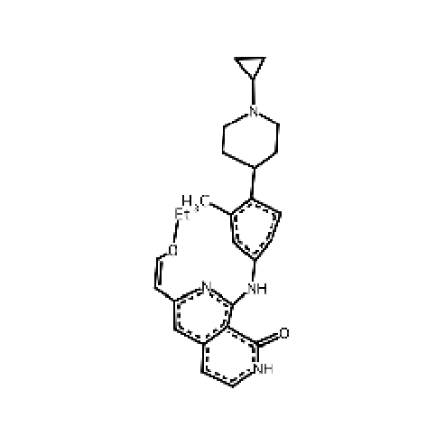 CCO/C=C\c1cc2cc[nH]c(=O)c2c(Nc2ccc(C3CCN(C4CC4)CC3)c(C)c2)n1